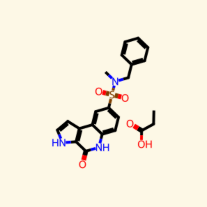 CCC(=O)O.CN(Cc1ccccc1)S(=O)(=O)c1ccc2[nH]c(=O)c3[nH]ccc3c2c1